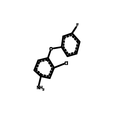 Nc1ccc(Oc2cccc(F)c2)c(Cl)c1